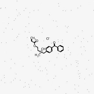 C=CC(=O)OCC[N+](C)(C)Cc1ccc(C(=O)c2ccccc2)cc1.[Cl-]